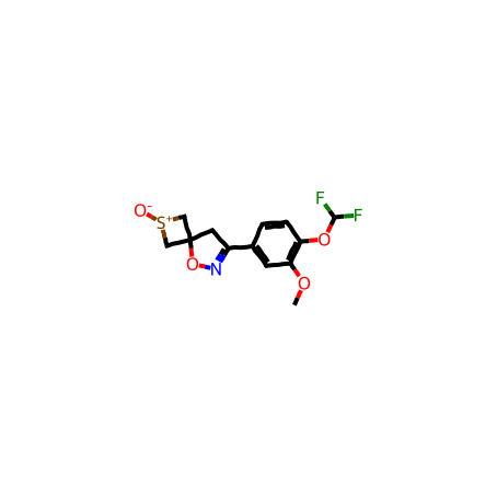 COc1cc(C2=NOC3(C2)C[S+]([O-])C3)ccc1OC(F)F